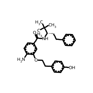 CC(C)(C)[C@H](CCc1ccccc1)NC(=O)c1ccc(N)c(OCCc2ccc(O)cc2)c1